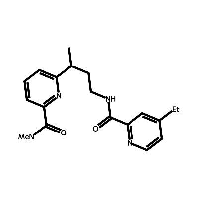 CCc1ccnc(C(=O)NCCC(C)c2cccc(C(=O)NC)n2)c1